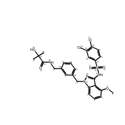 COc1cccc2c1c(NS(=O)(=O)c1ccc(Cl)c(Cl)c1)nn2Cc1cccc(CNC(=O)C(C)(C)O)c1